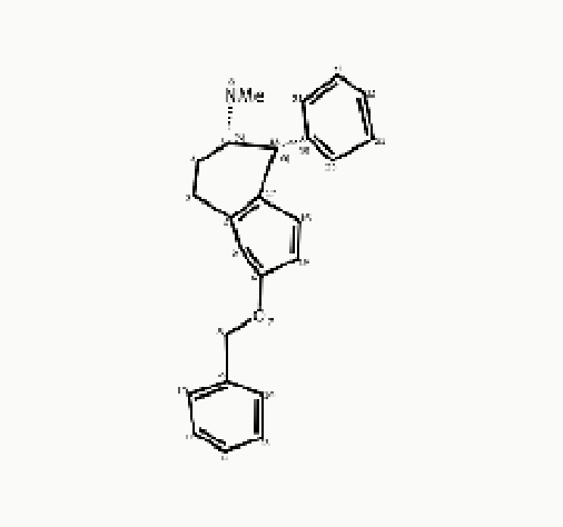 CN[C@H]1CCc2cc(OCc3ccccc3)ccc2[C@H]1c1ccccc1